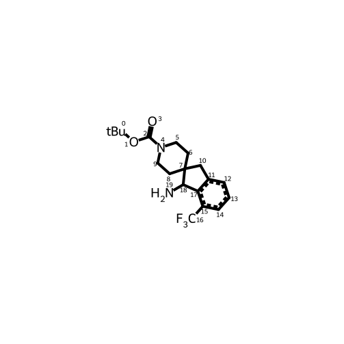 CC(C)(C)OC(=O)N1CCC2(CC1)Cc1cccc(C(F)(F)F)c1C2N